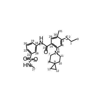 CCSc1cc(N2CCC3(CC2)CC3)c(C(=O)Nc2cccc(S(=O)(=O)NC)c2)cc1C